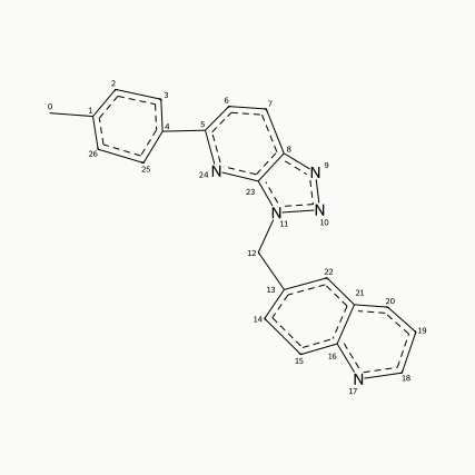 Cc1ccc(-c2ccc3nnn(Cc4ccc5ncccc5c4)c3n2)cc1